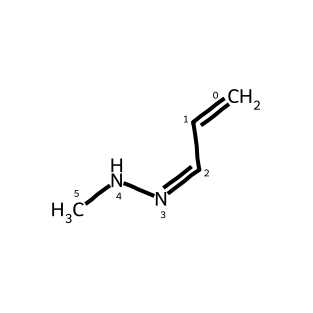 C=C/C=N\NC